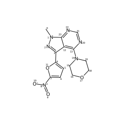 Cn1nc(-c2ccc([N+](=O)[O-])o2)c2c(N3CCOCC3)ncnc21